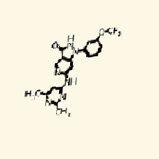 Cc1cc(Nc2cc3c(cn2)c(=O)[nH]n3-c2cccc(OC(F)(F)F)c2)nc(C)n1